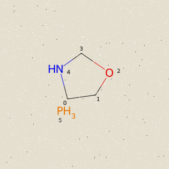 C1COCN1.P